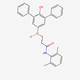 Cc1cccc(C)c1NC(=O)CC[S+]([O-])c1cc(-c2ccccc2)c(O)c(-c2ccccc2)c1